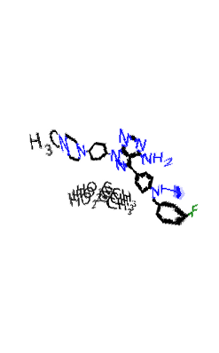 CC(=O)O.CC(=O)O.CC(=O)O.CN1CCN([C@H]2CC[C@@H](n3nc(-c4ccc(NCc5cccc(F)c5)cc4)c4c(N)ncnc43)CC2)CC1